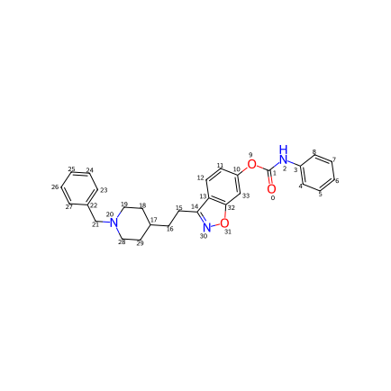 O=C(Nc1ccccc1)Oc1ccc2c(CCC3CCN(Cc4ccccc4)CC3)noc2c1